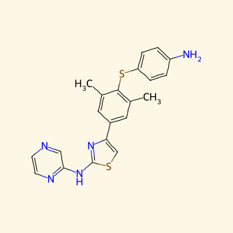 Cc1cc(-c2csc(Nc3cnccn3)n2)cc(C)c1Sc1ccc(N)cc1